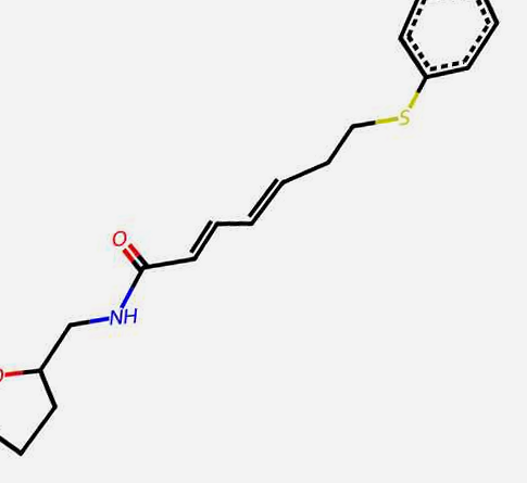 O=C(/C=C/C=C/CCSc1ccccc1)NCC1CCCO1